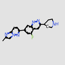 Cc1cn2nc(-c3cc(F)c4cc(C5CCNCC5)nnc4c3)c[c]c2n1